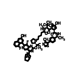 C=C(Oc1nc(N2CC3CCC(C2)N3)c2cnc(-c3cc(O)cc4cccc(F)c34)c(F)c2n1)[C@@H]1CCCN1CCCCC(=O)N[C@H](C(=O)N1C[C@H](O)C[C@H]1C(=O)N[C@@H](C)c1ccc(-c2scnc2C)cc1)C(C)(C)C